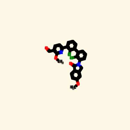 COc1ccc2c(c1)CN(c1cccc(-c3cccc(-c4ccc(C=O)c(OC)n4)c3Cl)c1Cl)C2=O